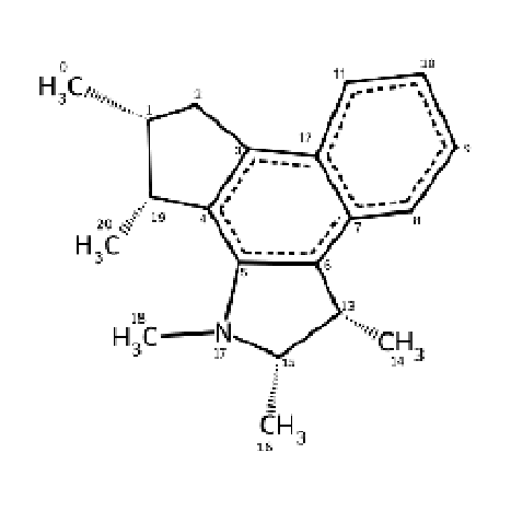 C[C@@H]1Cc2c(c3c(c4ccccc24)[C@H](C)[C@H](C)N3C)[C@@H]1C